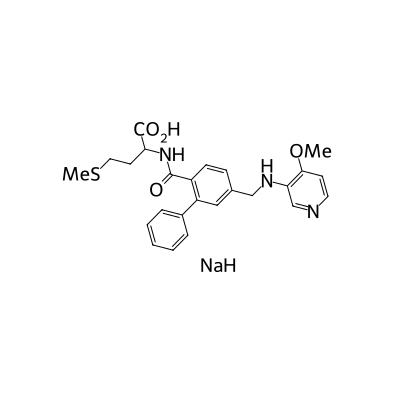 COc1ccncc1NCc1ccc(C(=O)NC(CCSC)C(=O)O)c(-c2ccccc2)c1.[NaH]